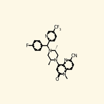 C[C@@H]1CN(c2cc(=O)n(C)c3ccc(C#N)nc23)[C@@H](C)CN1C(c1ccc(F)cc1)c1ccc(C(F)(F)F)cn1